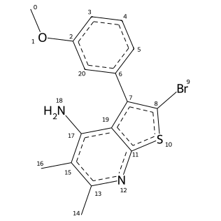 COc1cccc(-c2c(Br)sc3nc(C)c(C)c(N)c23)c1